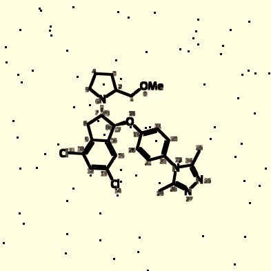 COCC1CCCN1[C@H]1Cc2c(Cl)cc(Cl)cc2[C@@H]1Oc1ccc(-n2c(C)nnc2C)cc1